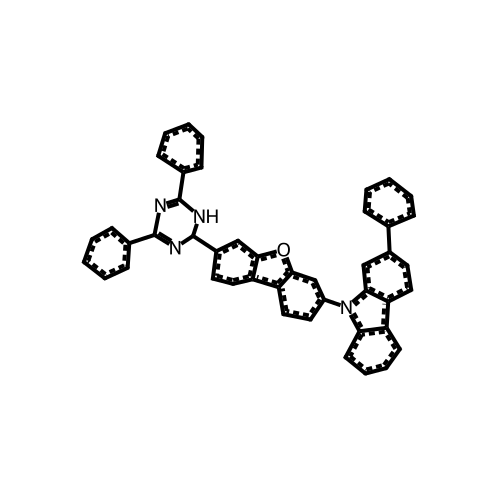 c1ccc(C2=NC(c3ccc4c(c3)oc3cc(-n5c6ccccc6c6ccc(-c7ccccc7)cc65)ccc34)NC(c3ccccc3)=N2)cc1